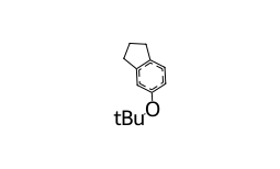 CC(C)(C)Oc1ccc2c(c1)CCC2